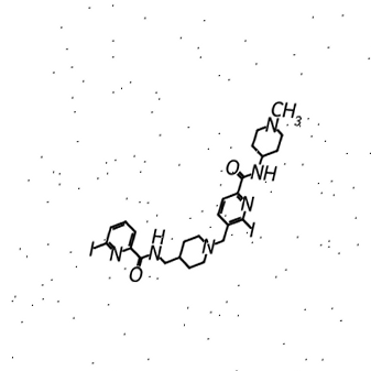 CN1CCC(NC(=O)c2ccc(CN3CCC(CNC(=O)c4cccc(I)n4)CC3)c(I)n2)CC1